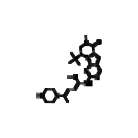 C=N/C(=C\C=C(/C)N1CCNCC1)Nc1ncc2cc3n(c2n1)[C@@H](C(C)(C)C)CN(C)C3=O